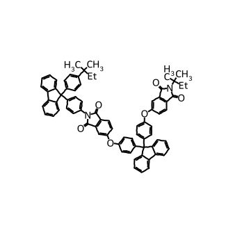 CCC(C)(C)c1ccc(C2(c3ccc(N4C(=O)c5ccc(Oc6ccc(C7(c8ccc(Oc9ccc%10c(c9)C(=O)N(C(C)(C)CC)C%10=O)cc8)c8ccccc8-c8ccccc87)cc6)cc5C4=O)cc3)c3ccccc3-c3ccccc32)cc1